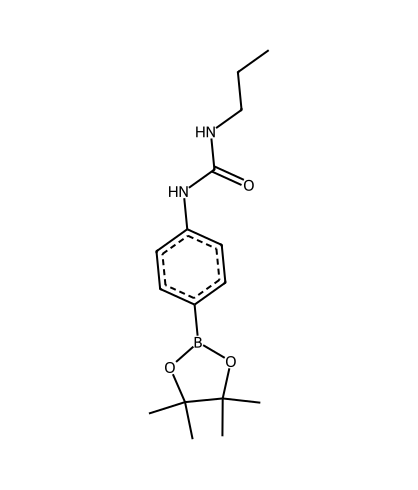 CCCNC(=O)Nc1ccc(B2OC(C)(C)C(C)(C)O2)cc1